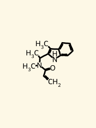 C=CC(=O)N(C)C(C)c1[nH]c2ccccc2c1C